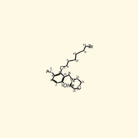 COc1ccc(C(C)=O)c(OCCCCCCBr)c1CN1CCOCC1